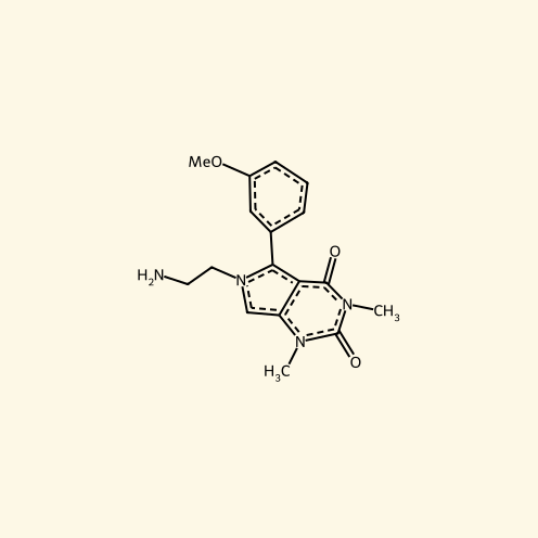 COc1cccc(-c2c3c(=O)n(C)c(=O)n(C)c3cn2CCN)c1